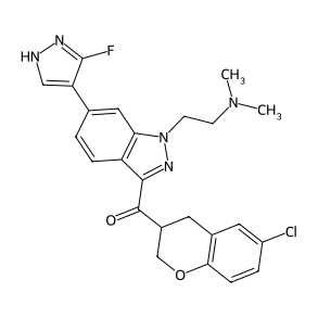 CN(C)CCn1nc(C(=O)C2COc3ccc(Cl)cc3C2)c2ccc(-c3c[nH]nc3F)cc21